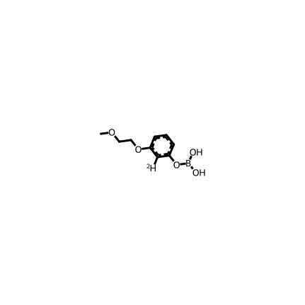 [2H]c1c(OCCOC)cccc1OB(O)O